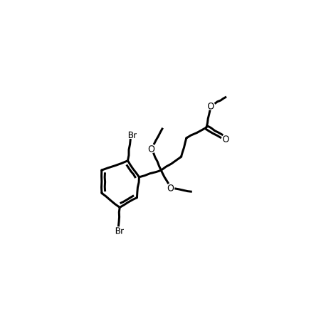 COC(=O)CCC(OC)(OC)c1cc(Br)ccc1Br